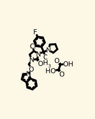 CC(c1ccc(F)cc1)(N1CCCC1)N1C(=O)N(COn2ccc3ccccc32)CC1Cl.O=C(O)C(=O)O